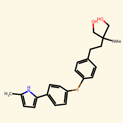 CNC(CO)(CO)CCc1ccc(Sc2ccc(-c3ccc(C)[nH]3)cc2)cc1